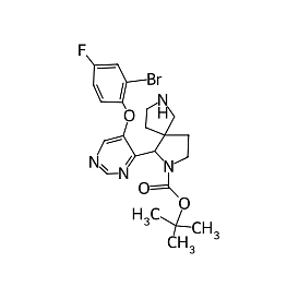 CC(C)(C)OC(=O)N1CCC2(CCNC2)C1c1ncncc1Oc1ccc(F)cc1Br